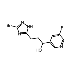 OC(C[CH]c1nc(Br)n[nH]1)c1cncc(F)c1